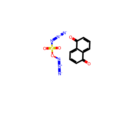 O=C1C=CC=C2C(=O)C=CC=C12.[N-]=[N+]=NOS(=O)(=O)N=[N+]=[N-]